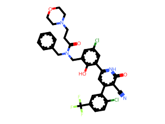 N#Cc1c(-c2cc(C(F)(F)F)ccc2Cl)cc(-c2cc(Cl)cc(CN(Cc3ccccc3)C(=O)CCN3CCOCC3)c2O)[nH]c1=O